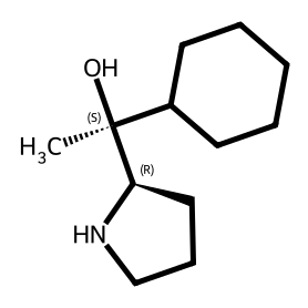 C[C@](O)(C1CCCCC1)[C@H]1CCCN1